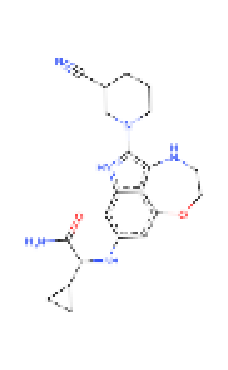 N#CC1CCCN(c2[nH]c3cc(N[C@H](C(N)=O)C4CC4)cc4c3c2NCCO4)C1